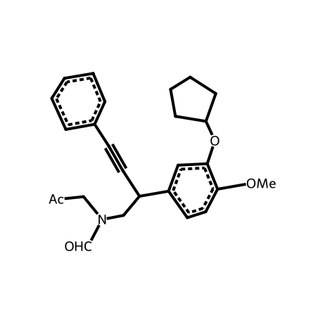 COc1ccc(C(C#Cc2ccccc2)CN(C=O)CC(C)=O)cc1OC1CCCC1